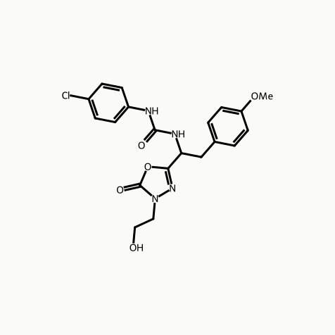 COc1ccc(CC(NC(=O)Nc2ccc(Cl)cc2)c2nn(CCO)c(=O)o2)cc1